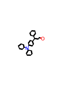 O=C/C=C(\c1ccccc1)c1ccc(N(c2ccccc2)c2ccccc2)cc1